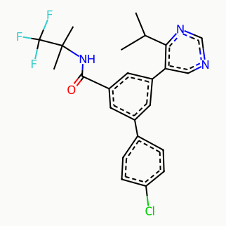 CC(C)c1ncncc1-c1cc(C(=O)NC(C)(C)C(F)(F)F)cc(-c2ccc(Cl)cc2)c1